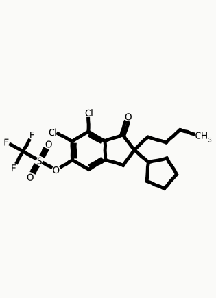 CCCCC1(C2CCCC2)Cc2cc(OS(=O)(=O)C(F)(F)F)c(Cl)c(Cl)c2C1=O